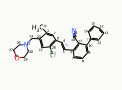 Cc1cc(/C=C/c2cccc(-c3ccccc3)c2C#N)c(Cl)cc1CN1CCOCC1